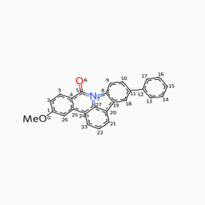 COc1ccc2c(=O)n3c4ccc(-c5ccccc5)cc4c4cccc(c2c1)c43